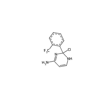 NC1=NC(Cl)(c2ccccc2C(F)(F)F)NC=C1